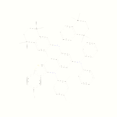 Cc1cc(C(C)(C)C)ccc1N1c2cc(N(c3ccccc3)c3ccccc3)cc3c2B(c2cc4c(cc2N3c2ccc3c(c2)C(C)(C)CCC3(C)C)C(C)(C)CCC4(C)C)c2sc3ccc(C(C)(C)C)cc3c21